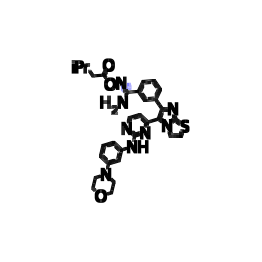 CC(C)CC(=O)O/N=C(\N)c1cccc(-c2nc3sccn3c2-c2ccnc(Nc3cccc(N4CCOCC4)c3)n2)c1